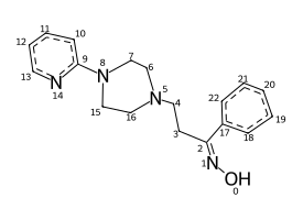 O/N=C(/CCN1CCN(c2ccccn2)CC1)c1ccccc1